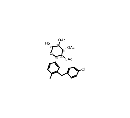 CC(=O)O[C@@H]1[C@@H](OC(C)=O)[C@H](c2ccc(C)c(Cc3ccc(Cl)cc3)c2)O[C@H](S)[C@H]1OC(C)=O